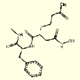 CNC(=O)[C@H](Cc1ccccc1)NC(=O)[C@H](CCCC(=O)O)CC(=O)NO